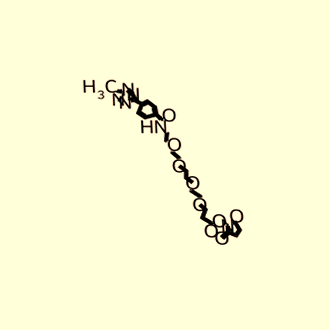 Cc1nnc(-c2ccc(C(=O)NCCOCCOCCOCCOCCC(=O)ON3C(=O)CCC3=O)cc2)nn1